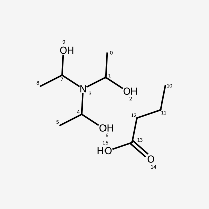 CC(O)N(C(C)O)C(C)O.CCCC(=O)O